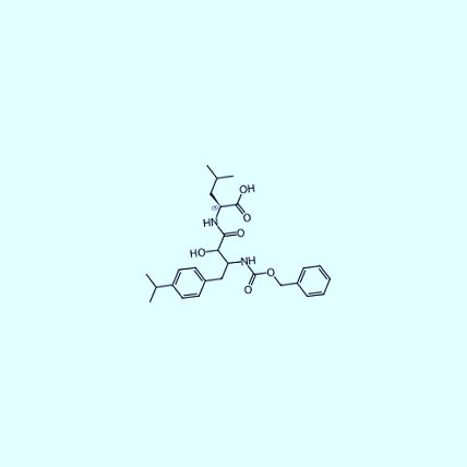 CC(C)C[C@H](NC(=O)C(O)C(Cc1ccc(C(C)C)cc1)NC(=O)OCc1ccccc1)C(=O)O